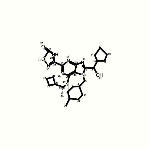 CC1CCC(Cn2c(C(O)C3CCCC3)nc3nc(-c4noc(=O)[nH]4)nc(N[C@H](C)C4CCC4)c32)CC1